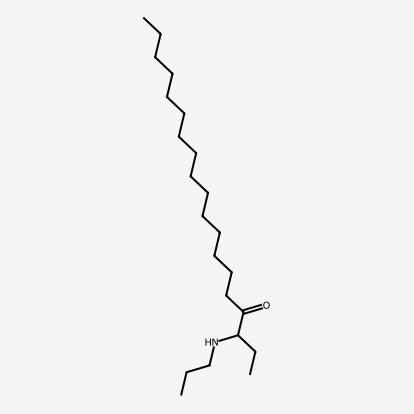 CCCCCCCCCCCCCCCC(=O)C(CC)NCCC